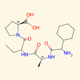 CCC(NC(=O)[C@H](C)NC(=O)C(N)C1CCCCC1)C(=O)N1CCC[C@H]1B(O)O